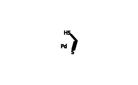 S=CS.[Pd]